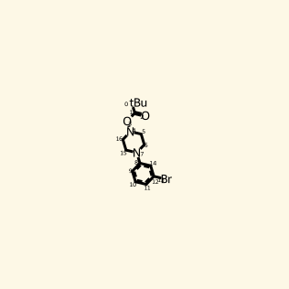 CC(C)(C)C(=O)ON1CCN(c2cccc(Br)c2)CC1